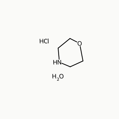 C1COCCN1.Cl.O